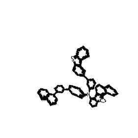 c1cc(-c2ccc(N(c3cccc(-c4ccc5sc6ccccc6c5c4)c3)c3cccc4oc5c6ccccc6ccc5c34)cc2)cc(-c2cccc3ccccc23)c1